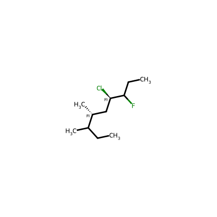 CCC(C)[C@H](C)C[C@@H](Cl)C(F)CC